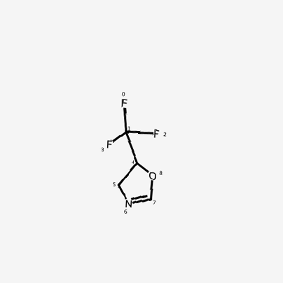 FC(F)(F)C1[CH]N=CO1